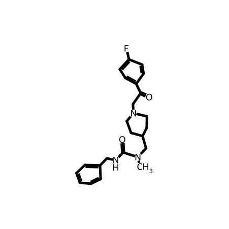 CN(CC1CCN(CC(=O)c2ccc(F)cc2)CC1)C(=O)NCc1ccccc1